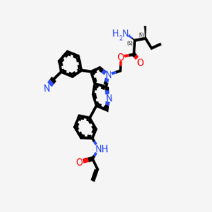 C=CC(=O)Nc1cccc(-c2cnc3c(c2)c(-c2cccc(C#N)c2)cn3COC(=O)[C@@H](N)[C@@H](C)CC)c1